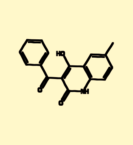 Cc1ccc2[nH]c(=O)c(C(=O)c3ccccc3)c(O)c2c1